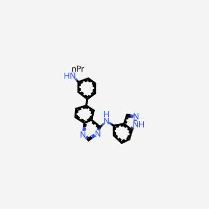 CCCNc1cccc(-c2ccc3ncnc(Nc4cccc5[nH]ncc45)c3c2)c1